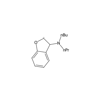 CCCCN(CCC)C1[C]Oc2ccccc21